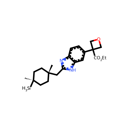 CCOC(=O)C1(c2ccc3nc(C[C@]4(C)CC[C@@](C)([SiH3])CC4)[nH]c3c2)COC1